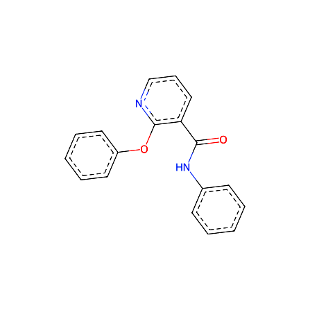 O=C(Nc1ccccc1)c1cccnc1Oc1ccccc1